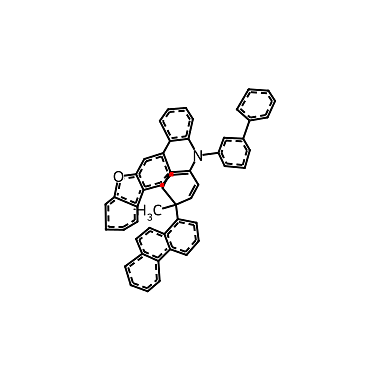 CC1(c2cccc3c2ccc2ccccc23)C=CC(N(c2cccc(-c3ccccc3)c2)c2ccccc2-c2ccc3c(c2)oc2ccccc23)=CC1